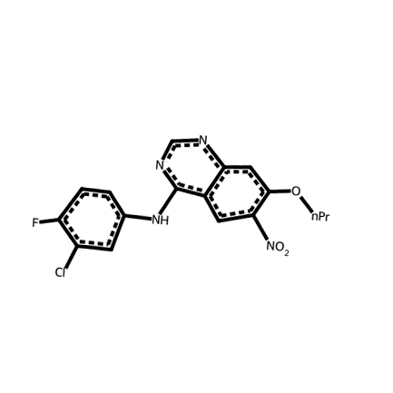 CCCOc1cc2ncnc(Nc3ccc(F)c(Cl)c3)c2cc1[N+](=O)[O-]